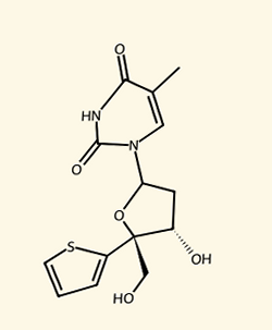 Cc1cn(C2C[C@H](O)[C@](CO)(c3cccs3)O2)c(=O)[nH]c1=O